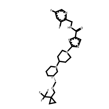 O=C(NCc1ncc(F)cc1F)c1cnc(N2CCC(N3CCC[C@@H](COCC4(C(F)(F)F)CC4)C3)CC2)s1